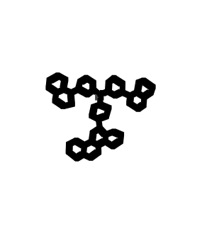 c1cc(-c2cccc3ccccc23)cc(N(c2ccc(-c3cc4c5ccccc5ccc4c4ccccc34)cc2)c2cccc(-c3cccc4ccccc34)c2)c1